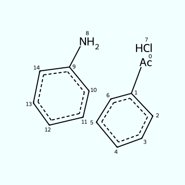 CC(=O)c1ccccc1.Cl.Nc1ccccc1